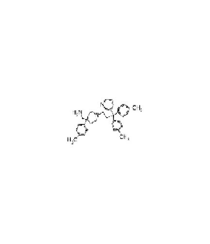 Cc1ccc(C2(CN)CCN(CCC(c3ccc(C)cc3)(c3ccc(C)cc3)c3cccnc3)CC2)cc1